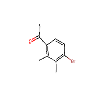 CC(=O)c1ccc(Br)c(C)c1C